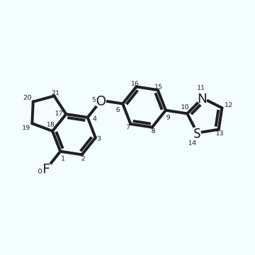 Fc1ccc(Oc2ccc(-c3nccs3)cc2)c2c1CCC2